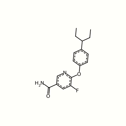 CCC(CC)c1ccc(Oc2ncc(C(N)=O)cc2F)cc1